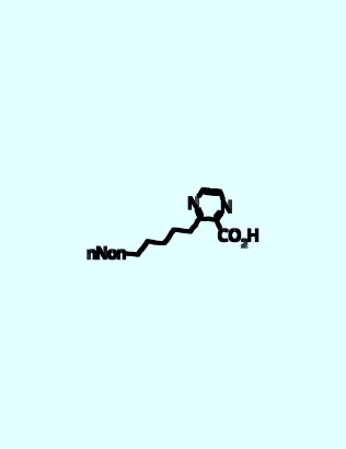 CCCCCCCCCCCCCCc1nccnc1C(=O)O